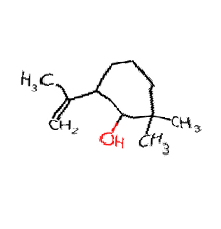 C=C(C)C1CCCC(C)(C)C1O